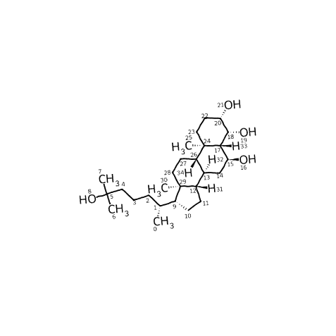 C[C@H](CCCC(C)(C)O)[C@H]1CC[C@H]2[C@@H]3C[C@H](O)[C@H]4[C@@H](O)[C@@H](O)CC[C@]4(C)[C@H]3CC[C@]12C